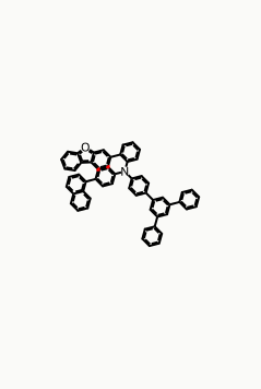 c1ccc(-c2cc(-c3ccccc3)cc(-c3ccc(N(c4ccc(-c5cccc6ccccc56)cc4)c4ccccc4-c4ccc5c(c4)oc4ccccc45)cc3)c2)cc1